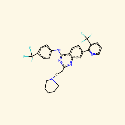 FC(F)(F)c1ccc(Nc2nc(CCN3CCCCC3)nc3cc(-c4ncccc4C(F)(F)F)ccc23)cc1